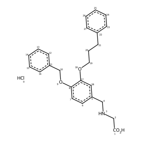 Cl.O=C(O)CNCc1ccc(OCc2ccccc2)c(OCCCc2ccccc2)c1